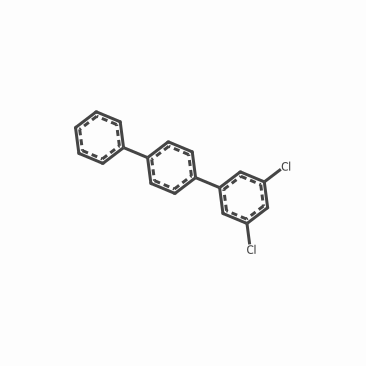 Clc1cc(Cl)cc(-c2ccc(-c3ccccc3)cc2)c1